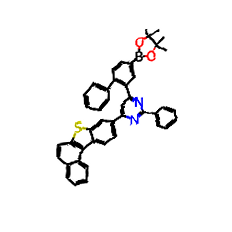 CC1(C)OB(c2ccc(-c3ccccc3)c(-c3cc(-c4ccc5c(c4)sc4ccc6ccccc6c45)nc(-c4ccccc4)n3)c2)OC1(C)C